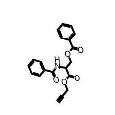 C#CCOC(=O)C(COC(=O)c1ccccc1)NC(=O)c1ccccc1